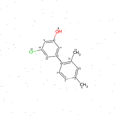 Cc1ccc(-c2cc(O)cc(Cl)c2)c(C)c1